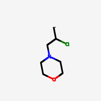 [CH2]C(Cl)CN1CCOCC1